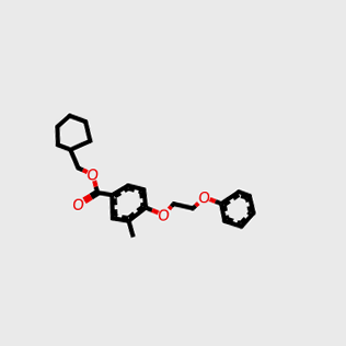 Cc1cc(C(=O)OCC2CCCCC2)ccc1OCCOc1ccccc1